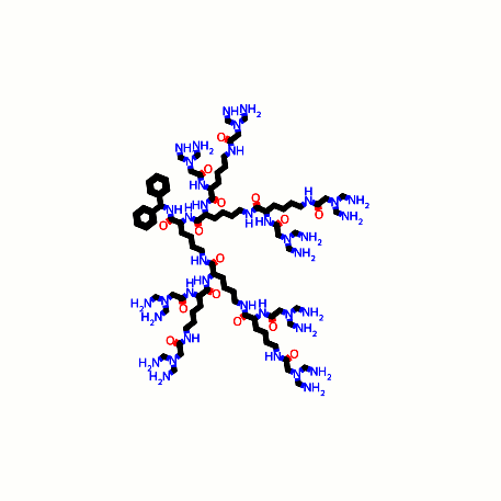 NCN(CN)CC(=O)NCCCCC(NC(=O)CN(CN)CN)C(=O)NCCCCC(NC(=O)C(CCCCNC(=O)CN(CN)CN)NC(=O)CN(CN)CN)C(=O)NCCCCC(NC(=O)C(CCCCNC(=O)C(CCCCNC(=O)CN(CN)CN)NC(=O)CN(CN)CN)NC(=O)C(CCCCNC(=O)CN(CN)CN)NC(=O)CN(CN)CN)C(=O)NC(c1ccccc1)c1ccccc1